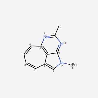 Cc1nc2c3c(cn(C(C)(C)C)c3n1)C=CC=C2